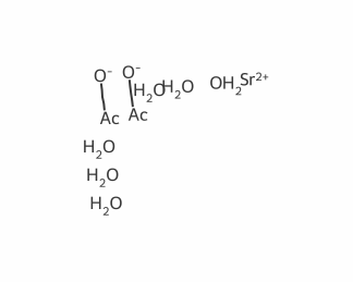 CC(=O)[O-].CC(=O)[O-].O.O.O.O.O.O.[Sr+2]